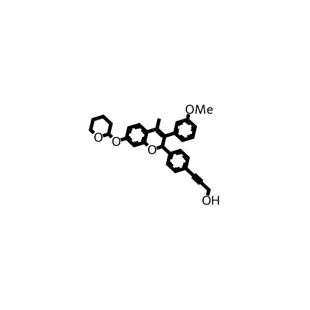 COc1cccc(C2=C(C)c3ccc(OC4CCCCO4)cc3OC2c2ccc(C#CCO)cc2)c1